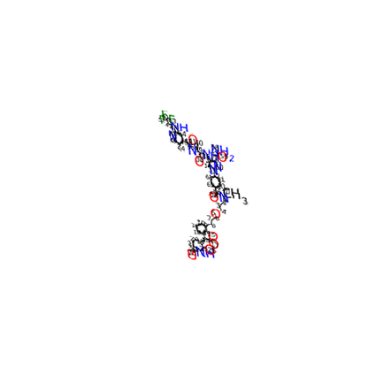 CN(CCCOCCCc1cccc2c1OC(=O)C2C1CCC(=O)NC1=O)C(=O)c1ccc(-n2cc(NC(=O)c3coc(-c4ccnc(NCC(F)(F)F)c4)n3)c(C(N)=O)n2)cc1